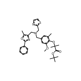 COc1cc(CN(Cc2nccs2)Cc2nc(-c3ccccc3)oc2C)cc(C)c1OC(C)(C)C(=O)OC(C)(C)C